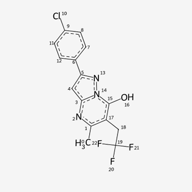 Cc1nc2cc(-c3ccc(Cl)cc3)nn2c(O)c1CC(F)(F)F